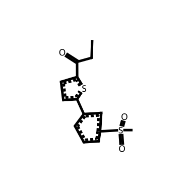 CCC(=O)c1ccc(-c2cccc(S(C)(=O)=O)c2)s1